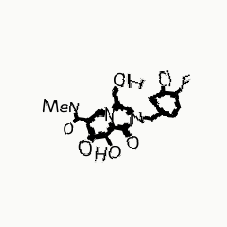 CNC(=O)c1cn2c(CO)cn(Cc3ccc(F)c(Cl)c3)c(=O)c2c(O)c1=O